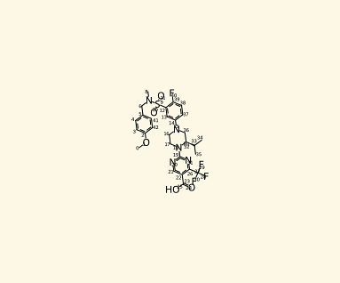 COc1ccc(CN(C)S(=O)(=O)c2cc(N3CCN(c4ncc(C(=O)O)c(C(F)(F)F)n4)[C@H](C(C)C)C3)ccc2F)cc1